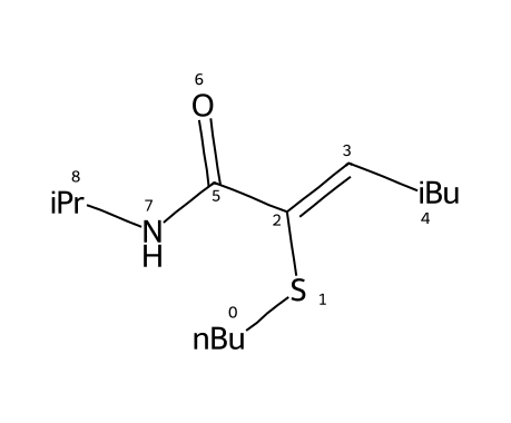 CCCCS/C(=C\C(C)CC)C(=O)NC(C)C